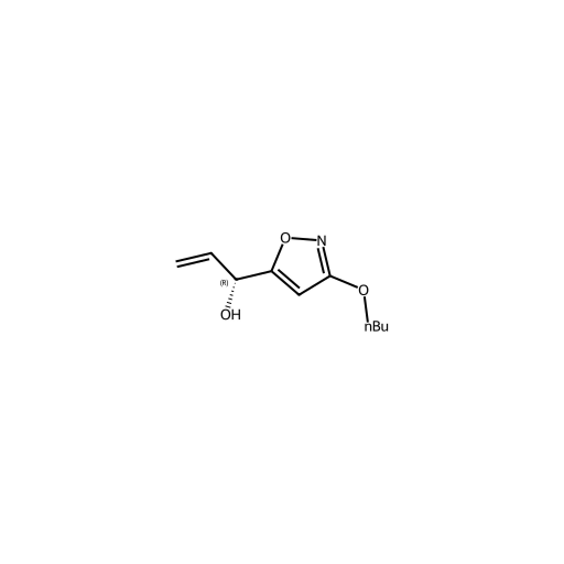 C=C[C@@H](O)c1cc(OCCCC)no1